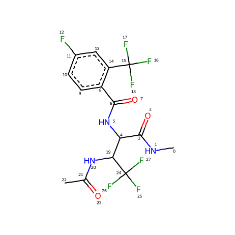 CNC(=O)C(NC(=O)c1ccc(F)cc1C(F)(F)F)C(NC(C)=O)C(F)(F)F